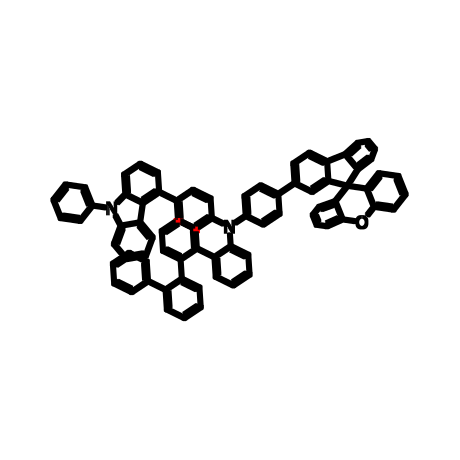 c1ccc(-c2ccccc2-c2ccccc2-c2ccccc2N(c2ccc(-c3ccc4c(c3)C3(c5ccccc5Oc5ccccc53)c3ccccc3-4)cc2)c2ccc(-c3cccc4c3c3ccccc3n4-c3ccccc3)cc2)cc1